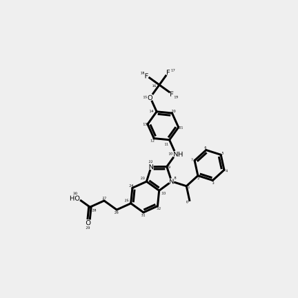 CC(c1ccccc1)n1c(Nc2ccc(OC(F)(F)F)cc2)nc2cc(CCC(=O)O)ccc21